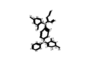 C=C/C=C(\C=C)N(c1ccc(N(C2=CCC(C)C=C2C)c2ccccc2)cc1)c1ccc(C)cc1C